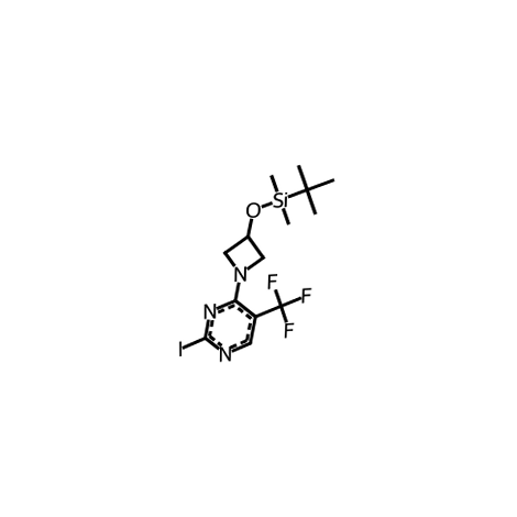 CC(C)(C)[Si](C)(C)OC1CN(c2nc(I)ncc2C(F)(F)F)C1